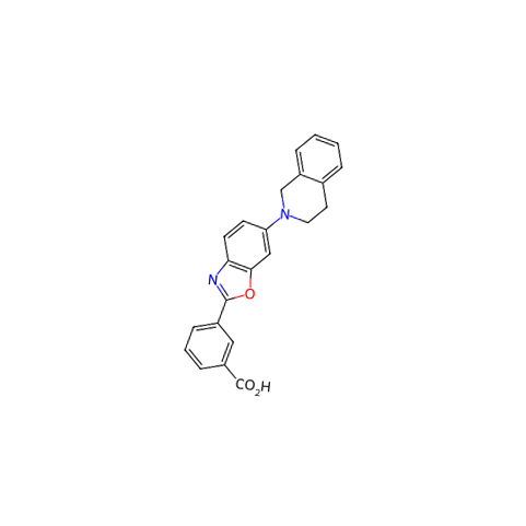 O=C(O)c1cccc(-c2nc3ccc(N4CCc5ccccc5C4)cc3o2)c1